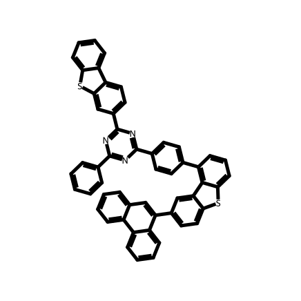 c1ccc(-c2nc(-c3ccc(-c4cccc5sc6ccc(-c7cc8ccccc8c8ccccc78)cc6c45)cc3)nc(-c3ccc4c(c3)sc3ccccc34)n2)cc1